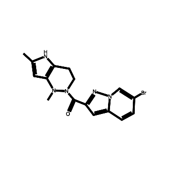 Cc1cc2c([nH]1)CCN(C(=O)c1cc3ccc(Br)cn3n1)N2C